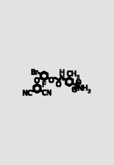 Cc1cc(S(N)(=O)=O)ccc1NC(=O)COc1ccc(Br)c(Oc2cc(C#N)cc(C#N)c2)c1F